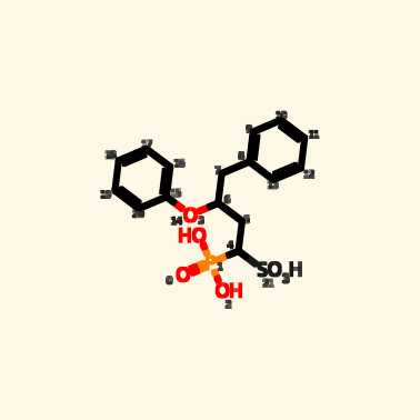 O=P(O)(O)C(CC(Cc1ccccc1)Oc1ccccc1)S(=O)(=O)O